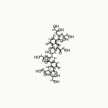 O=C(CO)NN(CC(O)CN(NC(=O)CO)C(=O)c1c(I)cc(I)c(C(=O)N(CC(O)CO)CC(O)CO)c1I)C(=O)c1c(I)cc(I)c(C(=O)N(CC(O)CO)CC(O)CO)c1I